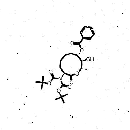 C[C@@H]1OC(=O)[C@@H](N(C(=O)OC(C)(C)C)C(=O)OC(C)(C)C)CCCC[C@H](OC(=O)c2ccccc2)[C@H]1O